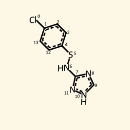 Clc1ccc(SNc2nc[nH]n2)cc1